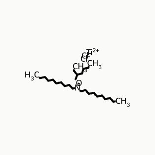 CCCCCCCCCCN(CCCCCCCCCC)OCC(CC)CCCC.[Cl-].[Cl-].[Ti+2]